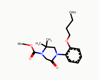 COCCCOc1ccccc1N1CC(C)(C)N(C(=O)OC(C)(C)C)CC1=O